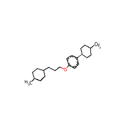 CC1CCC(CCCOc2ccc(C3CCC(C)CC3)cc2)CC1